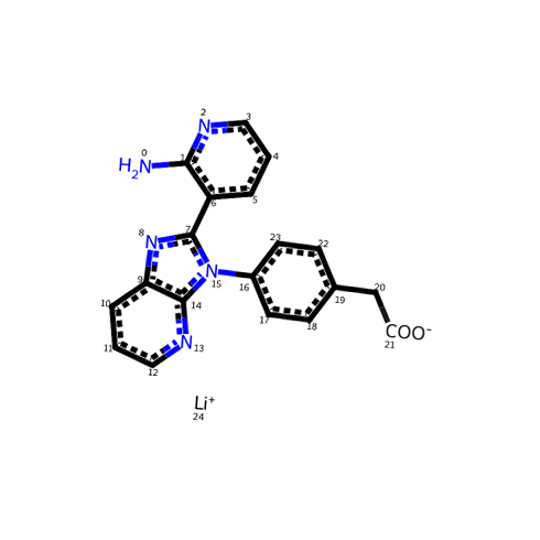 Nc1ncccc1-c1nc2cccnc2n1-c1ccc(CC(=O)[O-])cc1.[Li+]